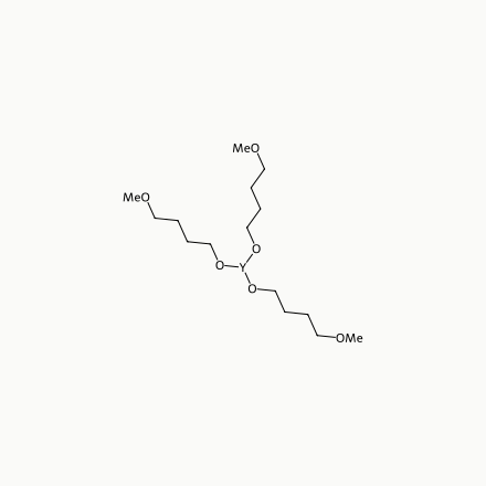 COCCCC[O][Y]([O]CCCCOC)[O]CCCCOC